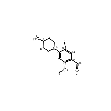 COc1cc(N2CCC(O)CC2)c(F)cc1C=O